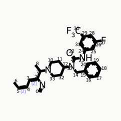 C=N/C(=C\C=C/C)C(C)N1CCC(N(Cc2ccccc2)C(=O)Nc2cc(F)cc(C(F)(F)F)c2)CC1